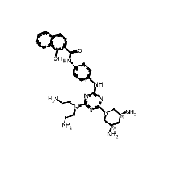 NCCN(CCN)c1nc(Nc2ccc(NC(=O)c3ccc4ccccc4c3O)cc2)nc(N2C[C@H](N)C[C@H](N)C2)n1